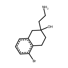 NCCC1(O)CCc2c(Br)cccc2C1